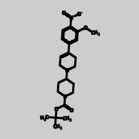 COc1cc(C2=CCN(C3CCN(C(=O)OC(C)(C)C)CC3)CC2)ccc1[N+](=O)[O-]